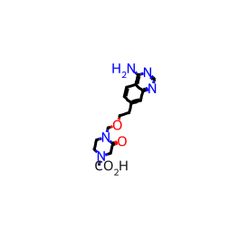 Nc1ncnc2cc(CCOCN3CCN(C(=O)O)CC3=O)ccc12